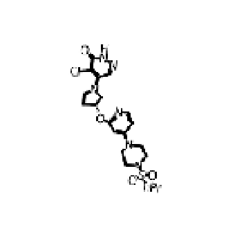 CCCS(=O)(=O)N1CCN(c2ccnc(O[C@@H]3CCN(c4cn[nH]c(=O)c4Cl)C3)c2)CC1